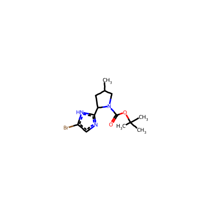 CC1CC(c2ncc(Br)[nH]2)N(C(=O)OC(C)(C)C)C1